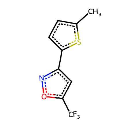 Cc1ccc(-c2cc(C(F)(F)F)on2)s1